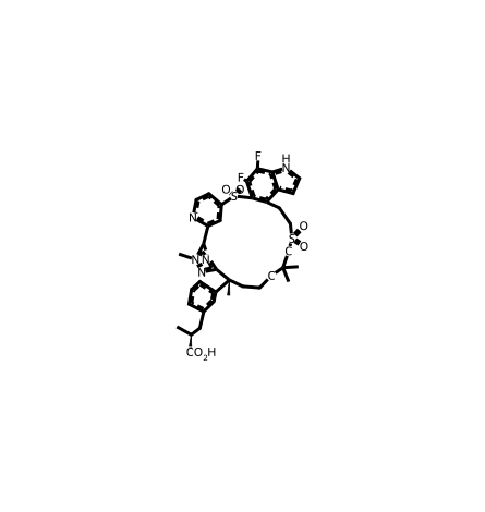 C[C@@H](Cc1cccc([C@@]2(C)CCCC(C)(C)CS(=O)(=O)CCc3c(c(F)c(F)c4[nH]ccc34)S(=O)(=O)c3ccnc(c3)-c3nc2nn3C)c1)C(=O)O